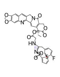 CC[C@@]1(OC(=O)CN/C(Cc2ccc(F)cc2)=N/S(=O)(=O)c2cccs2)C(=O)OCc2c1cc1n(c2=O)Cc2cc3cc4c(cc3nc2-1)OCO4